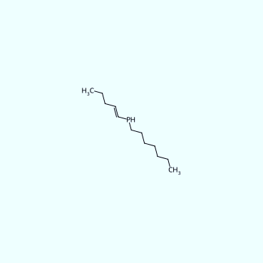 CCCC=CPCCCCCCC